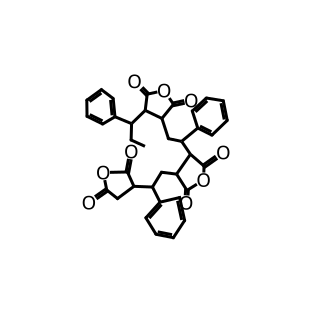 CCC(c1ccccc1)C1C(=O)OC(=O)C1CC(c1ccccc1)C1C(=O)OC(=O)C1CC(c1ccccc1)C1CC(=O)OC1=O